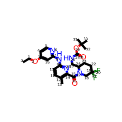 CCOc1ccnc(Nc2ccc(C)c(C(=O)N3CC(F)(F)CCC3CNC(=O)OC(C)(C)C)n2)c1